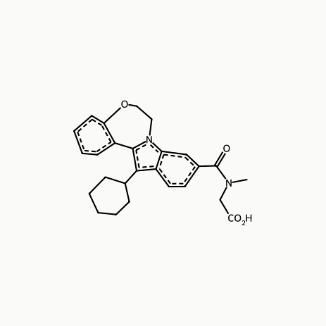 CN(CC(=O)O)C(=O)c1ccc2c(C3CCCCC3)c3n(c2c1)CCOc1ccccc1-3